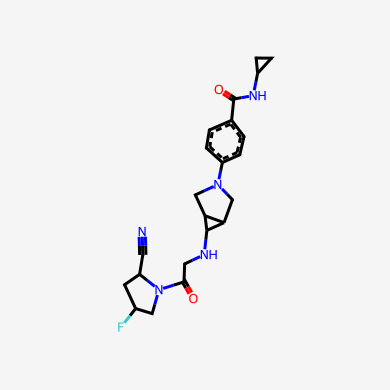 N#CC1CC(F)CN1C(=O)CNC1C2CN(c3ccc(C(=O)NC4CC4)cc3)CC21